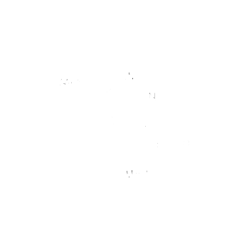 COC(=O)c1nnc(SC)s1